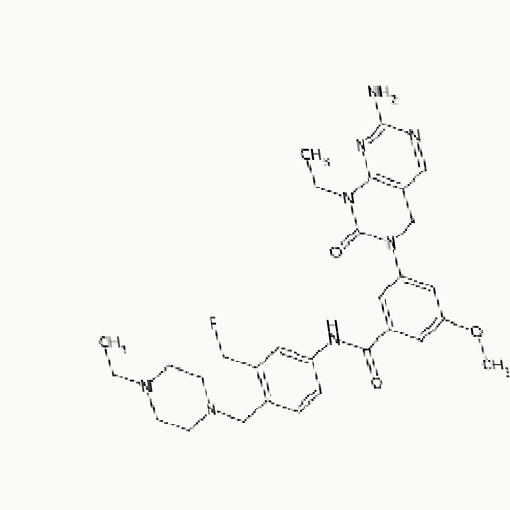 CCN1CCN(Cc2ccc(NC(=O)c3cc(OC)cc(N4Cc5cnc(N)nc5N(CC)C4=O)c3)cc2CF)CC1